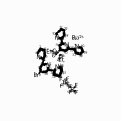 Brc1cc(-c2ccccn2)nc(-c2ccccn2)c1.CCOP(=O)(OCC)c1cc(-c2ccccn2)nc(-c2ccccn2)c1.F[B-](F)(F)F.F[B-](F)(F)F.[Ru+2]